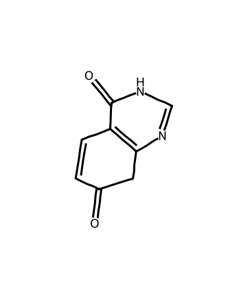 O=C1C=Cc2c(nc[nH]c2=O)C1